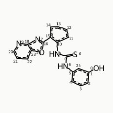 Oc1cccc(NC(=S)Nc2ccccc2-c2nc3ncccc3o2)c1